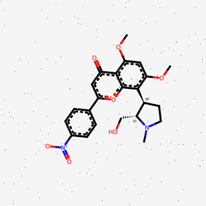 COc1cc(OC)c2c(=O)cc(-c3ccc([N+](=O)[O-])cc3)oc2c1[C@H]1CCN(C)[C@@H]1CO